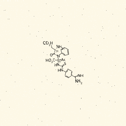 CC(=O)[C@@](NC(=S)Nc1ccc(C(=N)N)cc1)(C(=O)O)N(C(=O)[C@@H](N)CC(=O)O)c1ccccc1